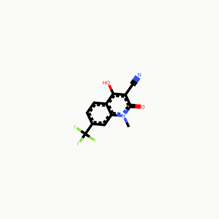 Cn1c(=O)c(C#N)c(O)c2ccc(C(F)(F)F)cc21